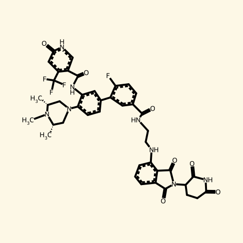 C[C@@H]1CN(c2ccc(-c3cc(C(=O)NCCNc4cccc5c4C(=O)N(C4CCC(=O)NC4=O)C5=O)ccc3F)cc2NC(=O)c2c[nH]c(=O)cc2C(F)(F)F)C[C@H](C)N1C